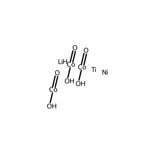 [LiH].[Ni].[O]=[Co][OH].[O]=[Co][OH].[O]=[Co][OH].[Ti]